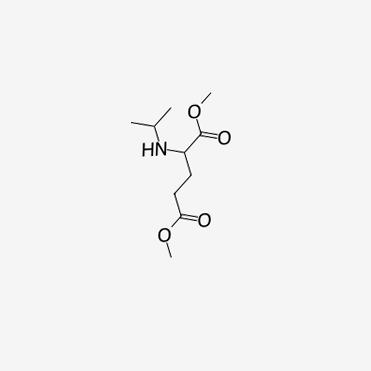 COC(=O)CCC(NC(C)C)C(=O)OC